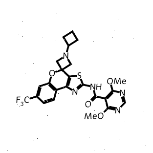 COc1ncnc(OC)c1C(=O)Nc1nc2c(s1)C1(CN(C3CCC3)C1)Oc1cc(C(F)(F)F)ccc1-2